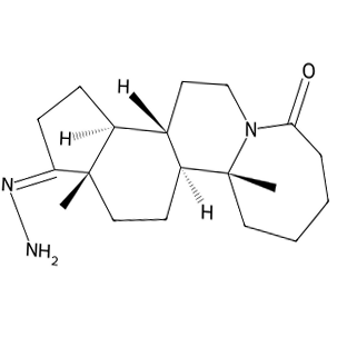 C[C@]12CC[C@H]3[C@@H](CCN4C(=O)CCCC[C@]34C)[C@@H]1CC/C2=N/N